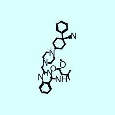 COC(=O)[C@@H](Nc1nc(CN2CCN(C3CCC(C#N)(c4ccccc4)CC3)CC2)nc2ccccc12)C(C)C